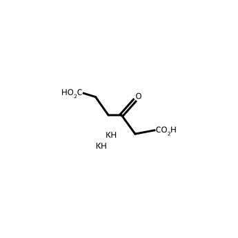 O=C(O)CCC(=O)CC(=O)O.[KH].[KH]